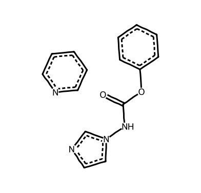 O=C(Nn1ccnc1)Oc1ccccc1.c1ccncc1